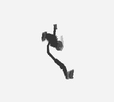 O=CC#CCC(Cl)(Cl)Cl